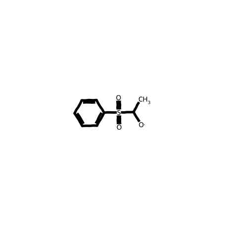 CC([O])S(=O)(=O)c1ccccc1